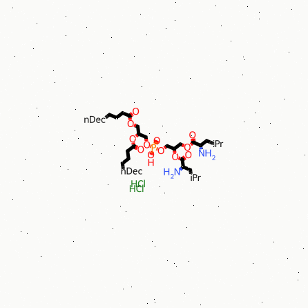 CCCCCCCCCCCCCC(=O)OCC(COP(=O)(O)OCC(COC(=O)C(N)CC(C)C)OC(=O)C(N)CC(C)C)OC(=O)CCCCCCCCCCCCC.Cl.Cl